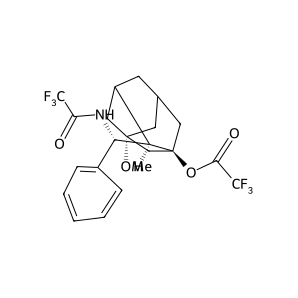 CO[C@@]12CC3CC(C1)[C@H]([C@@H](NC(=O)C(F)(F)F)c1ccccc1)[C@](OC(=O)C(F)(F)F)(C3)C2